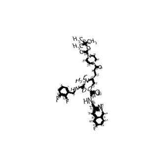 CN(C(=O)NCc1cccc(F)c1F)[C@@H](CCC(=O)N1CCN(C(=O)OC(C)(C)C)CC1)COC(=O)Nc1cc2cc(F)ccc2cn1